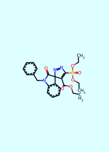 CCOC(=O)C1=C(P(=O)(OCC)OCC)N=NC12C(=O)N(Cc1ccccc1)c1ccccc12